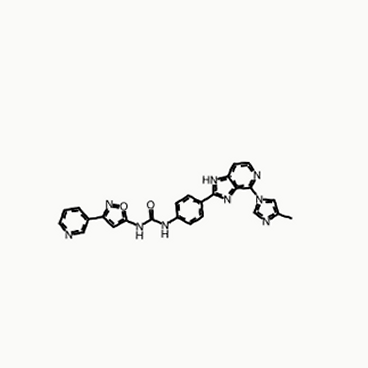 Cc1cn(-c2nccc3[nH]c(-c4ccc(NC(=O)Nc5cc(-c6cccnc6)no5)cc4)nc23)cn1